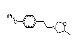 CC(C)Oc1ccc(CCN2COC(C)C2)cc1